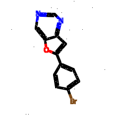 Brc1ccc(-c2cc3ncncc3o2)cc1